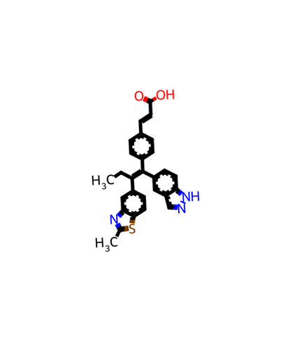 CCC(=C(c1ccc(C=CC(=O)O)cc1)c1ccc2[nH]ncc2c1)c1ccc2sc(C)nc2c1